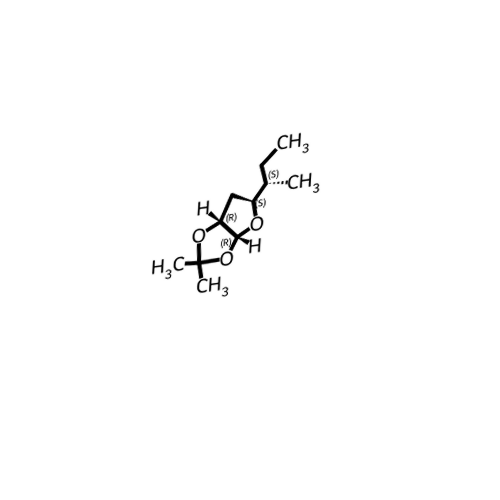 CC[C@H](C)[C@@H]1C[C@H]2OC(C)(C)O[C@H]2O1